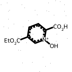 CCOC(=O)c1ccc(C(=O)O)[n+](O)c1